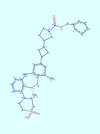 Cc1cc(C2CN(C3CCN(C(=O)OCc4ccccc4)C3)C2)cc2c1O[C@H](C)c1c(ncnc1N1CCS(=O)(=O)CC1)N2